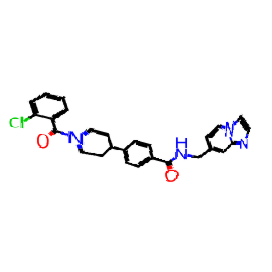 O=C(NCc1ccn2ccnc2c1)c1ccc(C2CCN(C(=O)c3ccccc3Cl)CC2)cc1